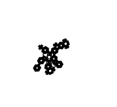 CC(C)(C)c1ccc(N2B3c4sc5ccc(-c6ccccc6)cc5c4N(c4ccc5c(c4)C(C)(C)CCC5(C)C)c4c3c(cc3c4oc4ccccc43)-c3cc4c(cc32)C(C)(C)c2cc3c(cc2-4)C(C)(C)CCC3(C)C)cc1